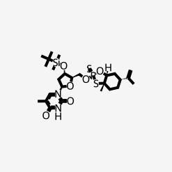 C=C(C)[C@@H]1CC[C@]2(C)SP(=S)(OC[C@H]3O[C@@H](n4cc(C)c(=O)[nH]c4=O)C[C@@H]3O[Si](C)(C)C(C)(C)C)O[C@H]2C1